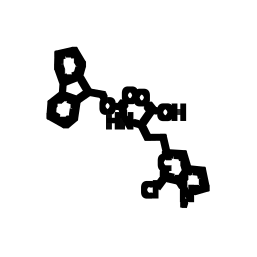 Cn1ccc2cc(CCC(NC(=O)OCC3c4ccccc4-c4ccccc43)C(=O)O)cc(Cl)c21